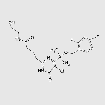 CC(C)(OCc1ccc(F)cc1F)c1nc(CCCC(=O)NCCO)[nH]c(=O)c1Cl